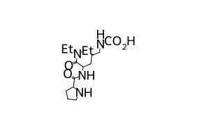 CCN(CC)C(=O)C(CCCNC(=O)O)NC(=O)C1CCCN1